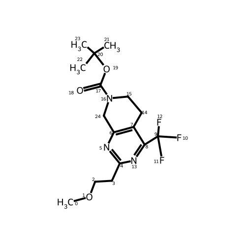 COCCc1nc2c(c(C(F)(F)F)n1)CCN(C(=O)OC(C)(C)C)C2